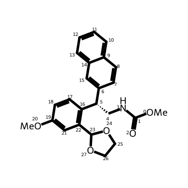 COC(=O)NC[C@@H](c1ccc2ccccc2c1)c1ccc(OC)cc1C1OCCO1